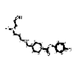 CCN(CCO)CCCOCC1CCN(C(=O)Oc2ccc(Cl)cc2)CC1